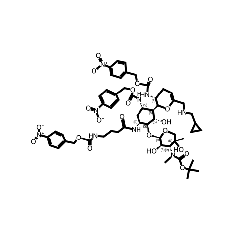 CN(C(=O)OC(C)(C)C)[C@@H]1[C@@H](O)[C@@H](O[C@@H]2[C@@H](O)[C@H](C3OC(CNCC4CC4)=CC[C@H]3NC(=O)OCc3ccc([N+](=O)[O-])cc3)[C@@H](NC(=O)OCc3ccc([N+](=O)[O-])cc3)C[C@H]2NC(=O)CCCNC(=O)OCc2ccc([N+](=O)[O-])cc2)OC[C@]1(C)O